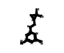 FC1(F)CC1COc1cc(Br)cc(Br)c1